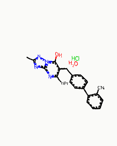 CCCc1nc2nc(C)nn2c(O)c1Cc1ccc(-c2ccccc2C#N)cc1.Cl.O